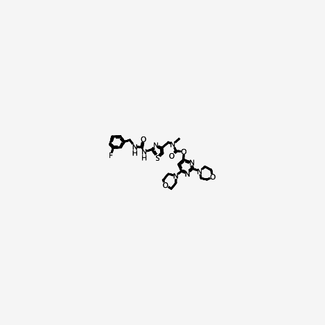 CN(Cc1csc(NC(=O)NCc2cccc(F)c2)n1)C(=O)Oc1cc(N2CCOCC2)nc(N2CCOCC2)n1